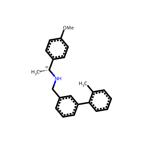 COc1ccc([C@@H](C)NCc2cccc(-c3ccccc3C)c2)cc1